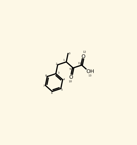 CC(Cc1ccccc1)C(=O)C(=O)O